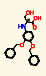 O=C(O)[C@H](CO)Nc1ccc(OCc2ccccc2)c(OCc2ccccc2)c1